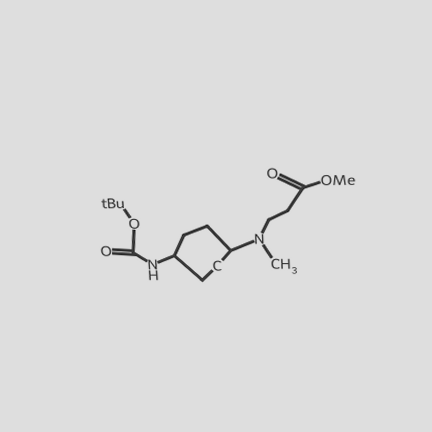 COC(=O)CCN(C)C1CCC(NC(=O)OC(C)(C)C)CC1